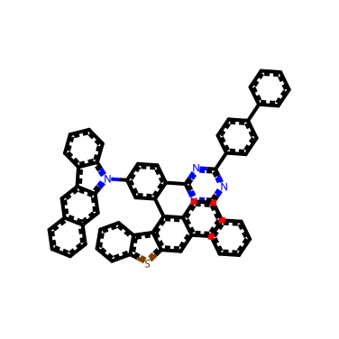 c1ccc(-c2ccc(-c3nc(-c4ccccc4)nc(-c4ccc(-n5c6ccccc6c6cc7ccccc7cc65)cc4-c4c5ccccc5cc5sc6ccccc6c45)n3)cc2)cc1